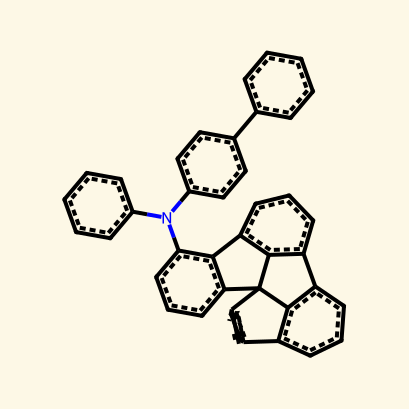 c1ccc(-c2ccc(N(c3ccccc3)c3cccc4c3-c3cccc5c3C43c4ccccc4-c4cccc-5c43)cc2)cc1